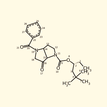 CC[C@H](CC(C)(C)C)OC(=O)N1CCC2C1C(=O)CN2C(=O)c1ccccc1